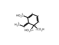 CC=C1C(C(=O)O)=CC=CC1(C(=O)O)S(=O)(=O)O